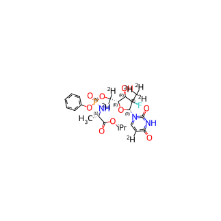 [2H]c1cn([C@@H]2O[C@H](C([2H])([2H])O[P@@](=O)(N[C@@H](C)C(=O)OC(C)C)Oc3ccccc3)[C@@H](O)[C@]2(F)C([2H])([2H])[2H])c(=O)[nH]c1=O